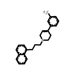 FC(F)(F)c1cccc(C2=CCN(CCCc3cccc4ccccc34)CC2)c1